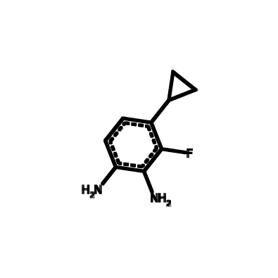 Nc1ccc(C2CC2)c(F)c1N